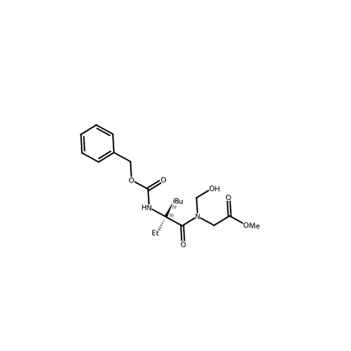 CC[C@H](C)[C@](CC)(NC(=O)OCc1ccccc1)C(=O)N(CO)CC(=O)OC